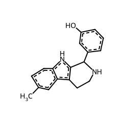 Cc1ccc2[nH]c3c(c2c1)CCNC3c1cccc(O)c1